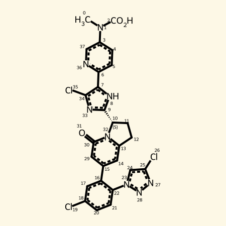 CN(C(=O)O)c1ccc(-c2[nH]c([C@@H]3CCc4cc(-c5cc(Cl)ccc5-n5cc(Cl)nn5)cc(=O)n43)nc2Cl)nc1